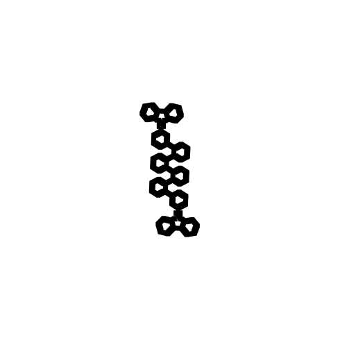 c1cc(-c2ccccc2-c2ccccc2-c2ccccc2-c2ccccc2-c2cccc(-n3c4ccccc4c4ccccc43)c2)cc(-n2c3ccccc3c3ccccc32)c1